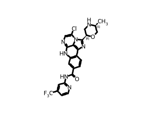 C[C@H]1CO[C@@H](c2nc3c4c(ncc(Cl)n24)Nc2cc(C(=O)Nc4cc(C(F)(F)F)ccn4)ccc2-3)CN1